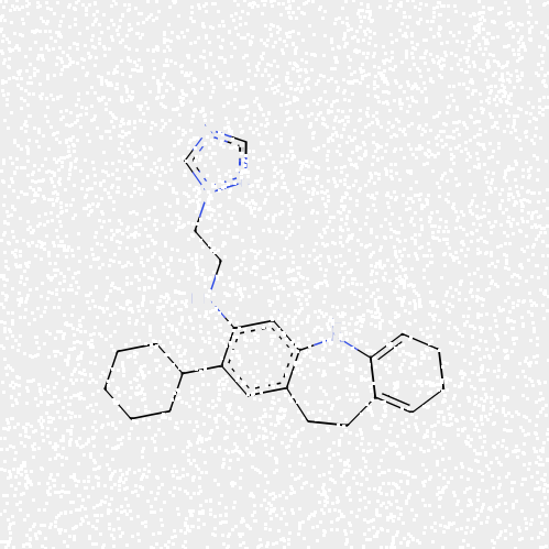 C1=C2CCc3cc(C4CCCCC4)c(NCCn4cncn4)cc3NC2=CCC1